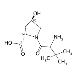 CC(C)(C)C(N)C(=O)N1C[C@H](O)C[C@H]1C(=O)O